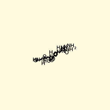 Nc1nc2ncc(CNc3ccc(C(=O)NC(CCC(=O)NCCNC=O)C(=O)O)cc3)nc2c(=O)[nH]1